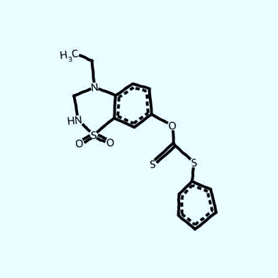 CCN1CNS(=O)(=O)c2cc(OC(=S)Sc3ccccc3)ccc21